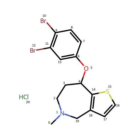 CN1CCC(Oc2ccc(Br)c(Br)c2)c2sccc2C1.Cl